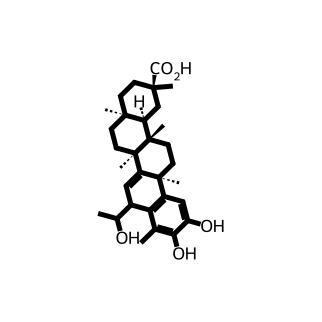 Cc1c(O)c(O)cc2c1C(C(C)O)C=C1[C@@]2(C)CC[C@@]2(C)[C@@H]3C[C@](C)(C(=O)O)CC[C@]3(C)CC[C@]12C